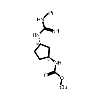 CC(C)NC(=N)N[C@H]1CC[C@H](NC(=O)OC(C)(C)C)C1